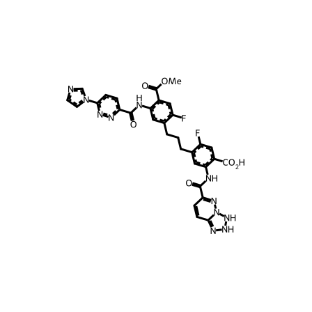 COC(=O)c1cc(F)c(CCCc2cc(NC(=O)C3=NN4NNN=C4C=C3)c(C(=O)O)cc2F)cc1NC(=O)c1ccc(-n2ccnc2)nn1